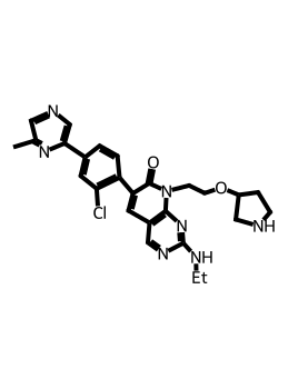 CCNc1ncc2cc(-c3ccc(-c4cncc(C)n4)cc3Cl)c(=O)n(CCOC3CCNC3)c2n1